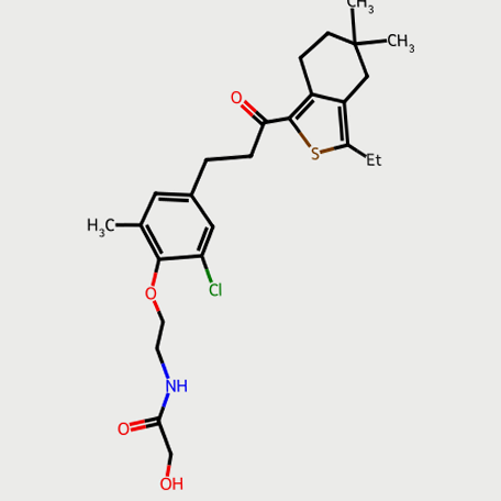 CCc1sc(C(=O)CCc2cc(C)c(OCCNC(=O)CO)c(Cl)c2)c2c1CC(C)(C)CC2